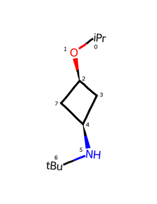 CC(C)O[C@H]1C[C@@H](NC(C)(C)C)C1